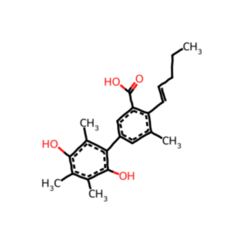 CCC/C=C/c1c(C)cc(-c2c(C)c(O)c(C)c(C)c2O)cc1C(=O)O